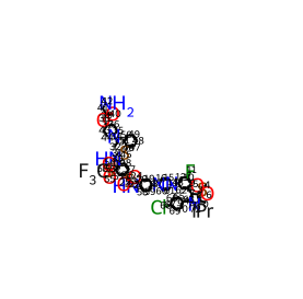 Cc1c(S(C)(=O)=O)c(-c2cc(F)cc(N3CCN(c4ccc(NS(=O)(=O)c5ccc(N[C@H](CCN6CCC(OC(=O)CN)CC6)Sc6ccccc6)c(S(=O)(=O)C(F)(F)F)c5)cc4)CC3)c2)c(-c2ccc(Cl)cc2)n1C(C)C